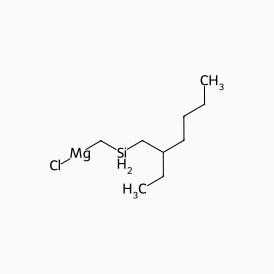 CCCCC(CC)C[SiH2][CH2][Mg][Cl]